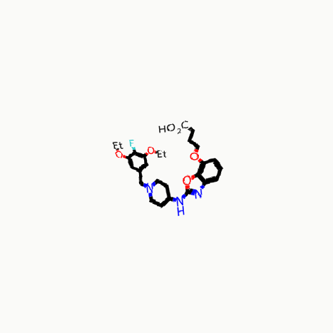 CCOc1cc(CN2CCC(Nc3nc4cccc(OCCCC(=O)O)c4o3)CC2)cc(OCC)c1F